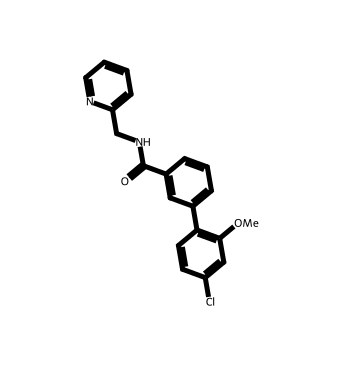 COc1cc(Cl)ccc1-c1cccc(C(=O)NCc2ccccn2)c1